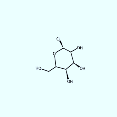 OCC1O[C@@H](Cl)C(O)[C@@H](O)[C@H]1O